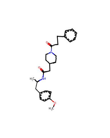 COc1ccc(CC(C)NC(=O)CC2CCN(C(=O)CCc3ccccc3)CC2)cc1